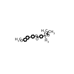 C=C(C)C(=O)OC(C)c1ccc(C(=O)Oc2ccc(-c3ccc4cc(OC)ccc4c3)cc2)cc1